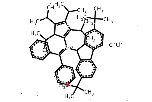 CC(C)C1=C(C(C)C)C(C(C)C)[C]([Zr+2](=[C](c2ccccc2)c2ccccc2)[CH]2c3cc(C(C)(C)C)ccc3-c3ccc(C(C)(C)C)cc32)=C1C(C)C.[Cl-].[Cl-]